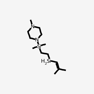 CC(C)=C[SiH2]CC[Si](C)(C)N1CCN(C)CC1